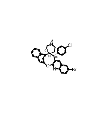 CN1CC[C@]2(OC1)c1cc(cc3ccccc13)Oc1nc3ccc(Br)cc3cc1[C@H]2c1ccc(Cl)cc1